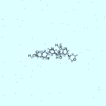 COc1ncc(N2CCOCC2)cc1S(=O)(=O)Nc1cncc(-c2ccc(CN(C)C)cc2F)c1